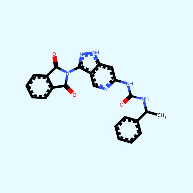 CC(NC(=O)Nc1cc2[nH]nc(N3C(=O)c4ccccc4C3=O)c2cn1)c1ccccc1